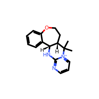 CC1(C)[C@H]2CCOc3ccccc3[C@H]2Nc2nccc[n+]21